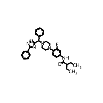 CCC(CC)C(=O)Nc1ccc(N2CCN(C(c3ccccc3)c3nc(-c4ccccc4)no3)CC2)c(F)c1